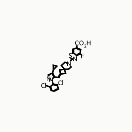 O=C(O)c1cc(F)c2nc(N3CCC4(CC3)CC(=Cc3c(C5CC5)cnn3-c3c(Cl)cccc3Cl)C4)sc2c1